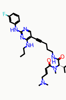 CCCNc1nc(Nc2cccc(F)c2)ncc1C#CCCCNC(=O)[C@H](C(C)CC)N(C)C(=O)/C=C/CN(C)C